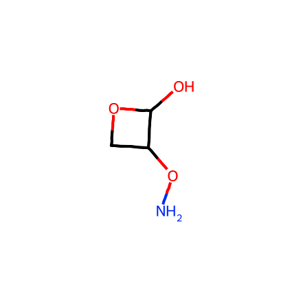 NOC1COC1O